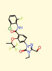 CCn1c(C=O)nn(-c2ccc(C(=O)Nc3c(F)cccc3Cl)c(OC(C)C(F)(F)F)c2)c1=O